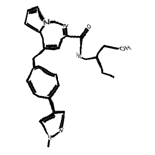 CCC(CO)NC(=O)c1cc(Cc2ccc(-c3cnn(C)c3)cc2)c2cccn2n1